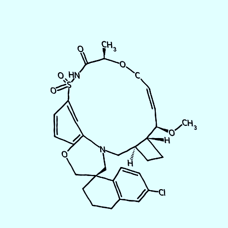 CO[C@@H]1C=CCO[C@H](C)C(=O)NS(=O)(=O)c2ccc3c(c2)N(C[C@@H]2CC[C@H]21)C[C@@]1(CCCc2cc(Cl)ccc21)CO3